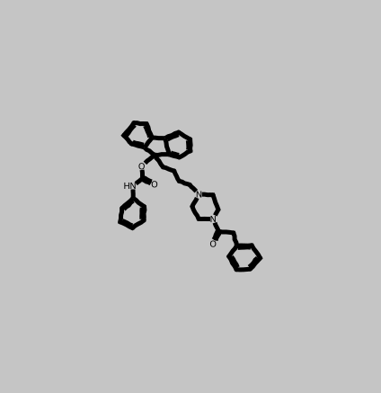 O=C(Nc1ccccc1)OC1(CCCCN2CCN(C(=O)Cc3ccccc3)CC2)c2ccccc2-c2ccccc21